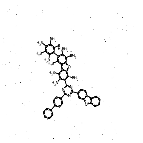 Bc1c(B)c(B)c(-c2c(B)c(B)c3oc4c(B)c(-c5nc(-c6ccc(-c7ccccc7)cc6)nc(-c6ccc7c(c6)oc6ccccc67)n5)c(B)c(B)c4c3c2B)c(B)c1B